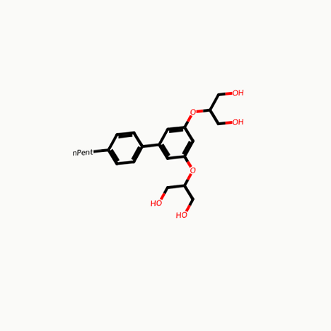 CCCCCc1ccc(-c2cc(OC(CO)CO)cc(OC(CO)CO)c2)cc1